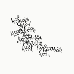 C[C@@H](OC(C)(C)C)[C@H](NC(=O)CNC(=O)[C@H](CCC(=O)OC(C)(C)C)NC(=O)C(C)(C)NC(=O)[C@H](Cc1ccc(OC(C)(C)C)cc1)NC(=O)OC(C)(C)C)C(=O)N[C@@H](Cc1ccccc1)C(=O)N[C@H](C(=O)N[C@@H](COC(C)(C)C)C(=O)N[C@@H](CC(=O)OC(C)(C)C)C(=O)N[C@@H](Cc1ccc(OC(C)(C)C)cc1)C(=O)N[C@@H](COC(C)(C)C)C(=O)O)[C@@H](C)OC(C)(C)C